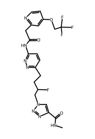 CNC(=O)c1cn(CC(F)CCc2ccc(NC(=O)Cc3cc(OCC(F)(F)F)ccn3)nn2)nn1